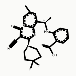 Cc1cc([C@@H](C)Nc2ccccc2C(=O)O)c2nc(N3CCC(F)(F)CC3)c(C#N)c(=O)n2c1